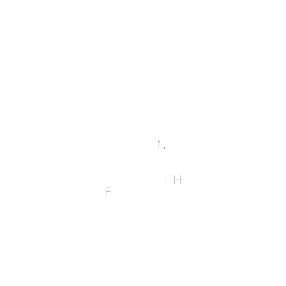 CN(c1ccccc1F)C1CC1